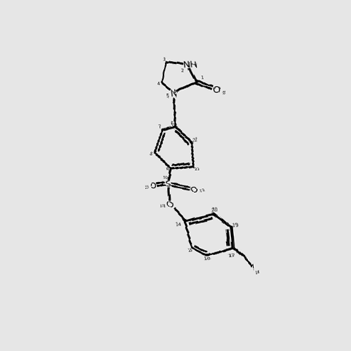 O=C1NCCN1c1ccc(S(=O)(=O)Oc2ccc(I)cc2)cc1